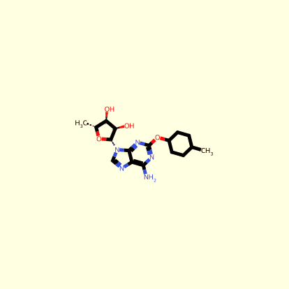 CC1CCC(Oc2nc(N)c3ncn([C@@H]4O[C@H](C)[C@@H](O)[C@H]4O)c3n2)CC1